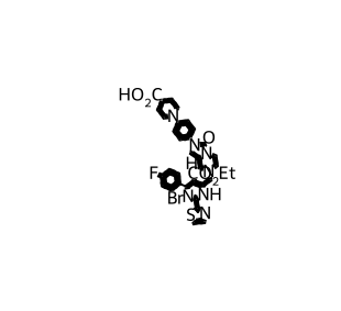 CCOC(=O)C1=C(CN2CCN3C(=O)N(c4ccc(N5CCC(C(=O)O)CC5)cc4)C[C@@H]3C2)NC(c2nccs2)=N[C@H]1c1ccc(F)cc1Br